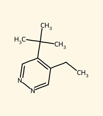 CCc1cnncc1C(C)(C)C